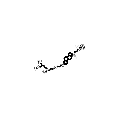 CCCC(OCCCOC1CCC2C3CCc4cc(OCCCSSCCCN(C)CCCC(CON)CON)ccc4C3CCC12C)(C(F)(F)F)C(F)(F)F